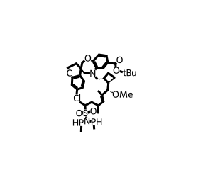 CO[C@H](/C(C)=C/C(C)CC(C)S(=O)(=O)N(PC)PC)[C@@H]1CC[C@H]1CN1C[C@@]2(CCCc3cc(Cl)ccc32)COc2ccc(C(=O)OC(C)(C)C)cc21